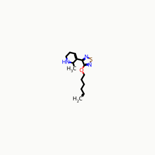 C=CCCCCOc1nsnc1C1=CCCNC1C